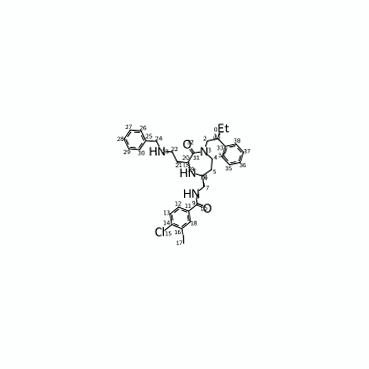 CC[C@H](CN1CC[C@@H](CNC(=O)c2ccc(Cl)c(I)c2)N[C@@H](CCNCc2ccccc2)C1=O)c1ccccc1